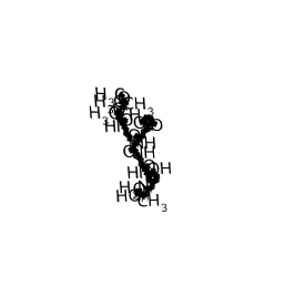 COC(C)(C)COC(C)(C)CC(=O)NCCCC[C@H](NC(=O)CCCN1C(=O)C=CC1=O)C(=O)NCCCC(=O)Nc1cc(C[C@H](N)C[C@H](C)C(=O)O)ccc1O